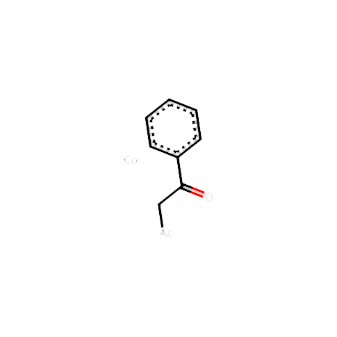 CC(=O)CC(=O)c1ccccc1.[Co]